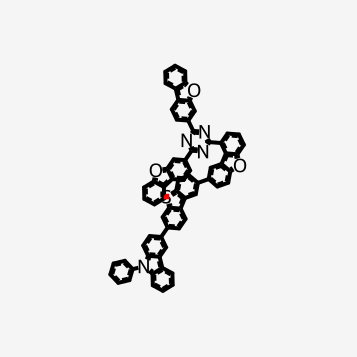 c1ccc(-n2c3ccccc3c3cc(-c4ccc5c(c4)sc4ccc(-c6ccc7oc8cccc(-c9nc(-c%10ccc%11c(c%10)oc%10ccccc%10%11)nc(-c%10ccc%11c(c%10)oc%10ccccc%10%11)n9)c8c7c6)cc45)ccc32)cc1